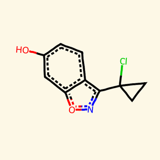 Oc1ccc2c(C3(Cl)CC3)noc2c1